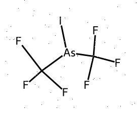 FC(F)(F)[As](I)C(F)(F)F